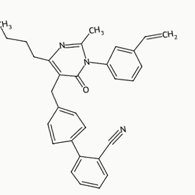 C=Cc1cccc(-n2c(C)nc(CCCC)c(Cc3ccc(-c4ccccc4C#N)cc3)c2=O)c1